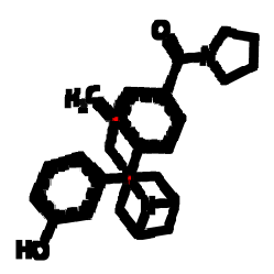 C=CCN1CC2CC(C1)N2C(c1ccc(C(=O)N2CCCC2)cc1)c1cccc(O)c1